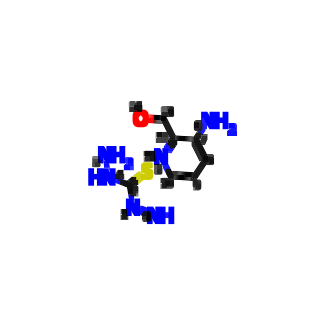 N=NC(=S)NN.Nc1cccnc1C=O